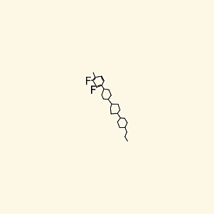 CCCC1CCC(C2CCC(C3CCC(c4ccc(C)c(F)c4F)CC3)CC2)CC1